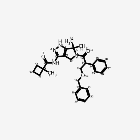 CC1(C(=O)Nc2n[nH]c3c2CN(C(=O)C(COCc2ccccc2)c2ccccc2)C3(C)C)CCC1